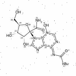 CCCCC(=O)N=c1ncn(O)c2c1ncn2[C@]1(C(N)=O)O[C@H](CO)[C@@H](O)[C@H]1O